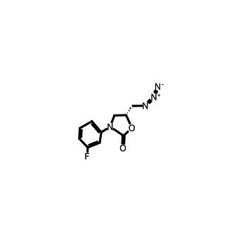 [N-]=[N+]=NC[C@H]1CN(c2cccc(F)c2)C(=O)O1